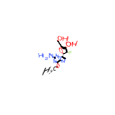 COc1nc(N)nn2c([C@@H]3OC(CO)=C(O)[C@H]3F)cnc12